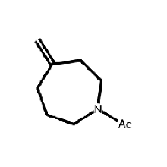 C=C1CCCN(C(C)=O)CC1